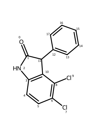 O=C1Nc2ccc(Cl)c(Cl)c2C1c1ccccc1